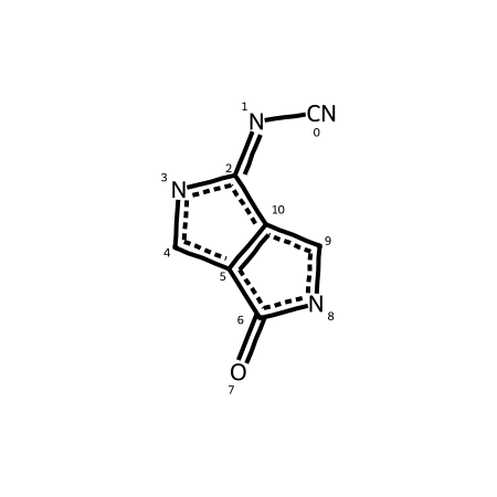 N#C/N=c1/ncc2c(=O)ncc1=2